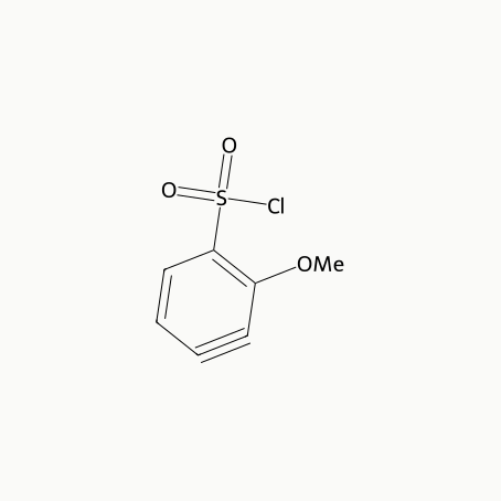 COc1c#cccc1S(=O)(=O)Cl